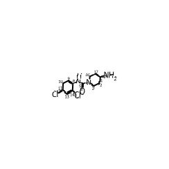 NC1CCN(C(=O)NC2=CCC(Cl)C=C2Cl)CC1